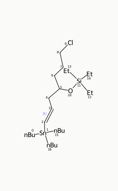 CCC[CH2][Sn](/[CH]=C/CC(CCCCl)O[Si](CC)(CC)CC)([CH2]CCC)[CH2]CCC